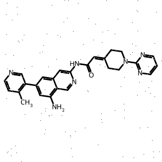 Cc1ccncc1-c1cc(N)c2cnc(NC(=O)C=C3CCN(c4ncccn4)CC3)cc2c1